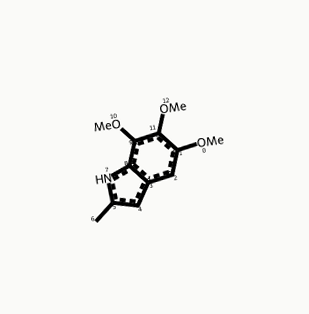 COc1cc2cc(C)[nH]c2c(OC)c1OC